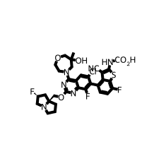 CC1(O)COCCN(c2nc(OC[C@@]34CCCN3C[C@H](F)C4)nc3c(F)c(-c4ccc(F)c5sc(NC(=O)O)c(C#N)c45)c(Cl)cc23)C1